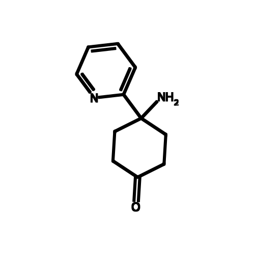 NC1(c2ccccn2)CCC(=O)CC1